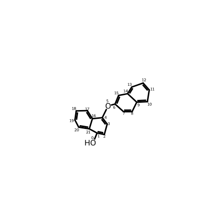 Oc1ccc(Oc2ccc3ccccc3c2)c2ccccc12